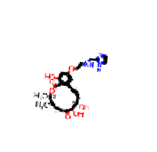 C[C@@H]1/C=C\C(=O)C(O)[C@@H](O)C/C=C/c2cc(OCCNCc3ncc[nH]3)cc(O)c2C(=O)O[C@H]1C